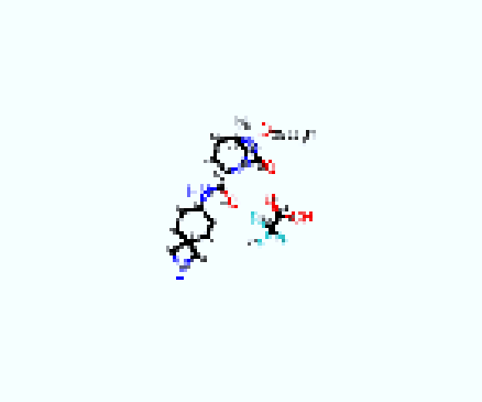 O=C(NC1CCC2(CC1)CNC2)[C@@H]1CC[C@@H]2CN1C(=O)N2OS(=O)(=O)O.O=C(O)C(F)(F)F